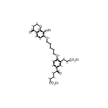 CCCc1c(OCCCCCOc2ccc(C(=O)CCCC(=O)OCC)cc2CCC(=O)OCC)ccc2c1OCCC2=O